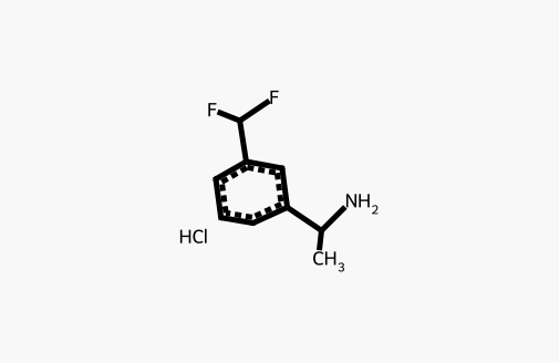 CC(N)c1cccc(C(F)F)c1.Cl